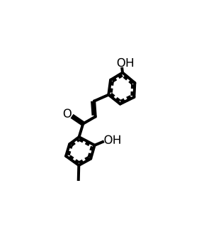 Cc1ccc(C(=O)/C=C/c2cccc(O)c2)c(O)c1